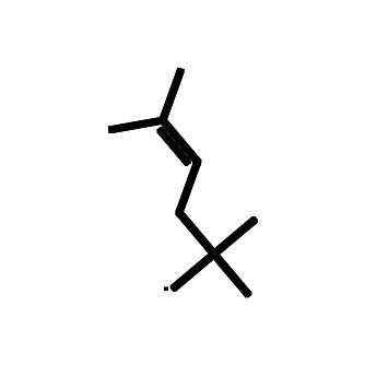 [CH2]C(C)(C)CC=C(C)C